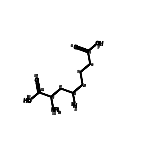 [3H]C(CCCC(=O)O)CC(N)C(=O)O